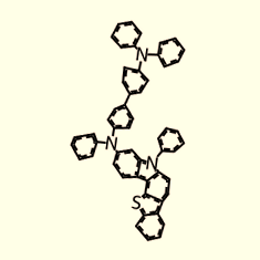 c1ccc(N(c2ccccc2)c2ccc(-c3ccc(N(c4ccccc4)c4ccc5c6c7sc8ccccc8c7ccc6n(-c6ccccc6)c5c4)cc3)cc2)cc1